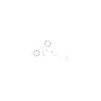 CC(C)(C)C[C@H]1N[C@@H](C(=O)NCCC2C[C@@H](O)[C@H](O)C2)[C@H](c2cccc(Cl)c2)[C@@]12C(=O)Nc1cc(Cl)c(F)cc12